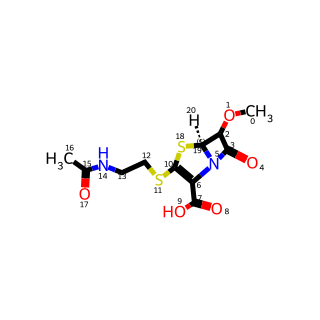 COC1C(=O)N2C(C(=O)O)=C(SCCNC(C)=O)S[C@@H]12